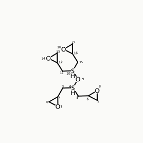 C1OC1C[SH](CC1CO1)O[SH](CC1CO1)CC1CO1